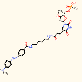 COC1C[C@H](n2cc(/C=C/C(=O)NCCCCCCNC(=O)c3ccc(/N=N/c4ccc(N(C)C)cc4)cc3)c(=O)[nH]c2=O)O[C@@H]1COP(C)(=O)O